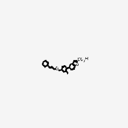 Cc1cc(COCCCC2CCCCC2)ccc1-c1ccc2oc(C(=O)O)cc2c1